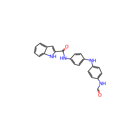 O=CNc1ccc(Nc2ccc(NC(=O)c3cc4ccccc4[nH]3)cc2)cc1